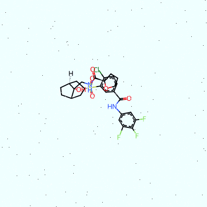 O=C(Nc1cc(F)c(F)c(F)c1)c1ccc(Cl)c(S(=O)(=O)[C@@H]2CC3CC[C@@H](C2)[C@@]3(O)CNC(=O)[C@H]2CCCO2)c1